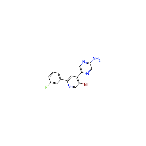 Nc1cnc(-c2cc(-c3cccc(F)c3)ncc2Br)cn1